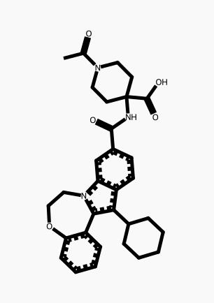 CC(=O)N1CCC(NC(=O)c2ccc3c(C4CCCCC4)c4n(c3c2)CCOc2ccccc2-4)(C(=O)O)CC1